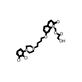 O=C(CO)OCn1c(=O)ccc2ccc(OCCCCN3CCN(c4cccc(Cl)c4Cl)CC3)cc21